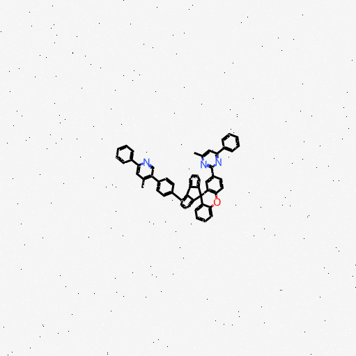 Cc1cc(-c2ccccc2)nc(-c2ccc3c(c2)C2(c4ccccc4O3)c3ccccc3-c3c(-c4ccc(-c5cnc(-c6ccccc6)cc5C)cc4)cccc32)n1